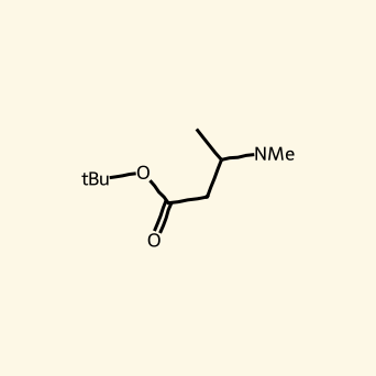 CNC(C)CC(=O)OC(C)(C)C